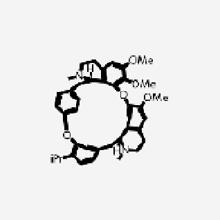 COc1cc2c3cc1Oc1c(OC)c(OC)cc4c1[C@H](Cc1ccc(cc1)Oc1cc(ccc1C(C)C)C[C@H]3N(C)CC2)N(C)CC4